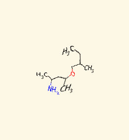 CCC(C)COC(C)CC(C)N